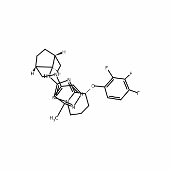 Cc1cc(N2C[C@H]3CC[C@@H](C2)[C@@H]3Nc2nc3n(n2)CCC[C@H]3Oc2ccc(F)c(F)c2F)cnn1